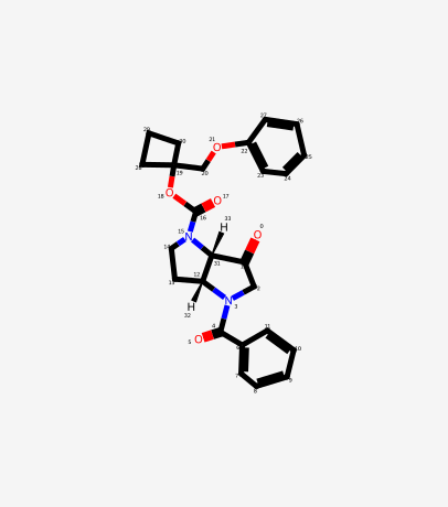 O=C1CN(C(=O)c2ccccc2)[C@@H]2CCN(C(=O)OC3(COc4ccccc4)CCC3)[C@H]12